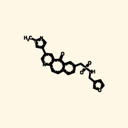 Cn1cc(-c2cnc3ccc4ccc(CS(=O)(=O)NCc5ccoc5)cc4c(=O)c3c2)cn1